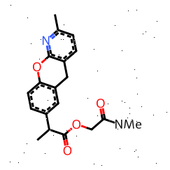 CNC(=O)COC(=O)C(C)c1ccc2c(c1)Cc1ccc(C)nc1O2